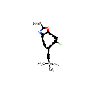 CNc1nc2cc(C#C[Si](C)(C)C)c(F)cc2o1